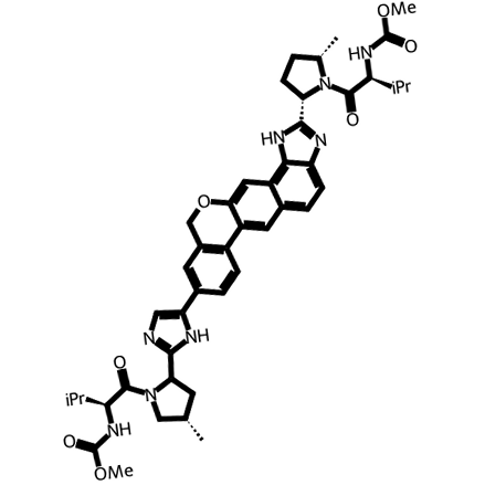 COC(=O)N[C@H](C(=O)N1C[C@@H](C)CC1c1ncc(-c2ccc3c(c2)COc2cc4c(ccc5nc([C@@H]6CC[C@H](C)N6C(=O)[C@@H](NC(=O)OC)C(C)C)[nH]c54)cc2-3)[nH]1)C(C)C